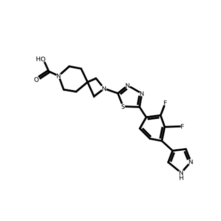 O=C(O)N1CCC2(CC1)CN(c1nnc(-c3ccc(-c4cn[nH]c4)c(F)c3F)s1)C2